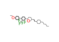 CCCCCC1CCC(/C=C/C2CCC(c3ccc(-c4ccc(OCC)cc4)c(C(F)(F)F)c3F)OC2)CC1